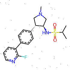 CC(C)S(=O)(=O)N[C@@H]1CN(C)C[C@H]1c1ccc(-c2cccnc2F)cc1